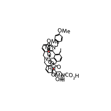 COc1ccc(CN(Cc2ccc(OC)cc2)S(=O)(=O)c2c(S(=O)(=O)NC(CO)CNC(=O)O)ccc(I)c2-c2nnnn2Cc2ccc(OC)cc2)cc1